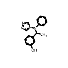 CC(c1cccc(O)c1)N(c1ccccc1)n1cnnc1